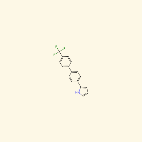 FC(F)(F)c1ccc(-c2ccc(-c3ccc[nH]3)cc2)cc1